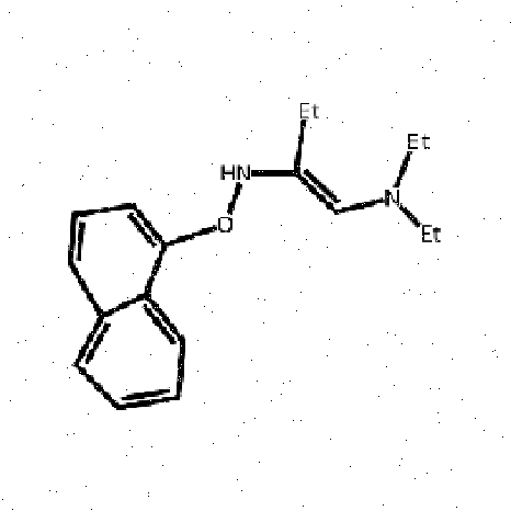 CCC(=CN(CC)CC)NOc1cccc2ccccc12